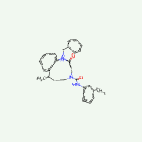 C=C1CCN(C(=O)Nc2cccc(C)c2)CC(=O)N(Cc2ccccc2)c2ccccc21